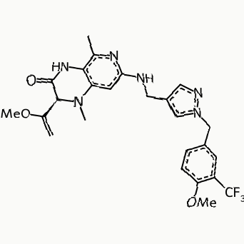 C=C(OC)[C@H]1C(=O)Nc2c(cc(NCc3cnn(Cc4ccc(OC)c(C(F)(F)F)c4)c3)nc2C)N1C